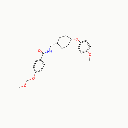 COCOc1ccc(C(=O)NC[C@H]2CC[C@@H](Oc3ccc(OC)cc3)CC2)cc1